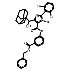 O=C(OCc1ccccc1)c1cccc(NC(=O)c2c(C(O)C34CC5CC(CC(C5)C3)C4)nc(-c3c(Cl)cccc3Cl)n2O)c1